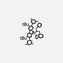 Cc1cc(C)cc(-c2cc3c(cc2C(C)(C)C)-c2cc(C(C)(C)C)c(-c4cc(C)cc(C)c4)cc2[CH]3[Zr]([C]2=CC=CC2)=[C](Cc2ccccc2)Cc2ccccc2)c1